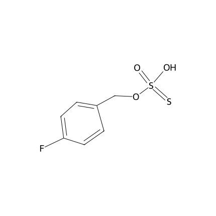 O=S(O)(=S)OCc1ccc(F)cc1